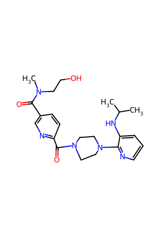 CC(C)Nc1cccnc1N1CCN(C(=O)c2ccc(C(=O)N(C)CCO)cn2)CC1